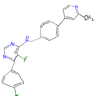 Cc1cc(-c2ccc(CNc3ncnc(-c4ccc(Cl)cc4)c3F)cc2)ccn1